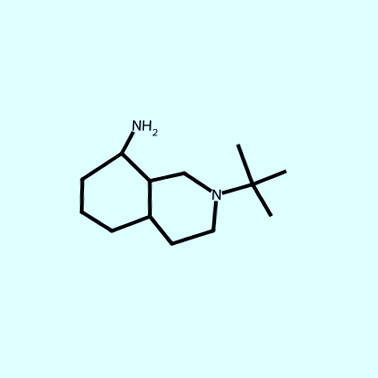 CC(C)(C)N1CCC2CCCC(N)C2C1